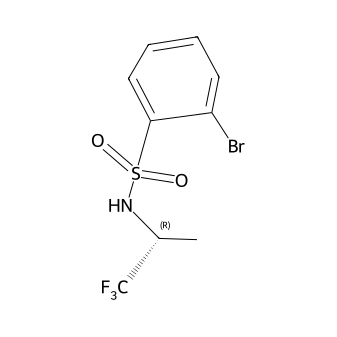 C[C@@H](NS(=O)(=O)c1ccccc1Br)C(F)(F)F